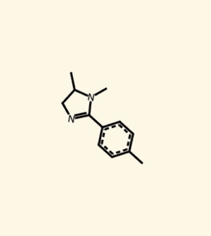 Cc1ccc(C2=NCC(C)N2C)cc1